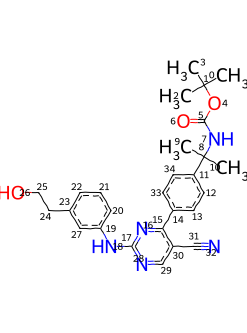 CC(C)(C)OC(=O)NC(C)(C)c1ccc(-c2nc(Nc3cccc(CCO)c3)ncc2C#N)cc1